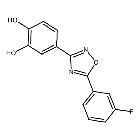 Oc1ccc(-c2noc(-c3cccc(F)c3)n2)cc1O